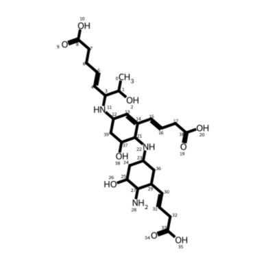 CC(O)C(/C=C/CCC(=O)O)NC1C=C(/C=C/CC(=O)O)C(NC2CC(O)C(N)C(/C=C/CC(=O)O)C2)C(O)C1